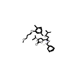 COCCCOc1cc(C[C@@H](C/C(=N/[C@@H](C)c2ccccc2)C2C[C@@H](C(C)C)C(=O)O2)C(C)C)ccc1C